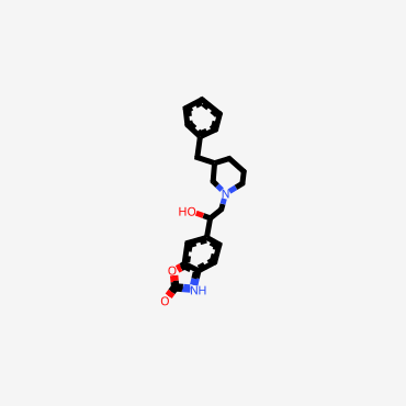 O=c1[nH]c2ccc(C(O)CN3CCCC(Cc4ccccc4)C3)cc2o1